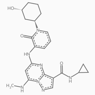 CNc1cc(Nc2cccn([C@@H]3CCC[C@@H](O)C3)c2=O)nc2c(C(=O)NC3CC3)cnn12